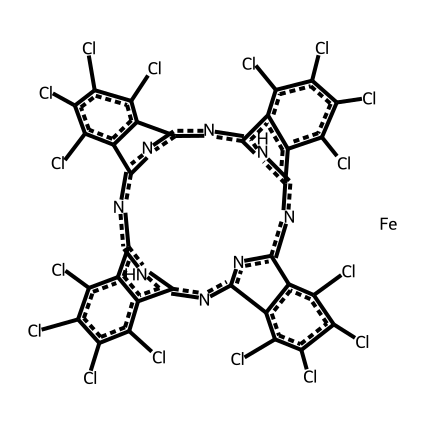 Clc1c(Cl)c(Cl)c2c(c1Cl)-c1nc-2nc2[nH]c(nc3nc(nc4[nH]c(n1)c1c(Cl)c(Cl)c(Cl)c(Cl)c41)-c1c(Cl)c(Cl)c(Cl)c(Cl)c1-3)c1c(Cl)c(Cl)c(Cl)c(Cl)c21.[Fe]